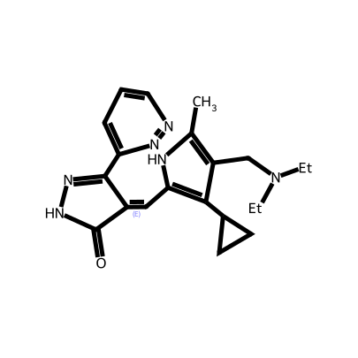 CCN(CC)Cc1c(C)[nH]c(/C=C2/C(=O)NN=C2c2cccnn2)c1C1CC1